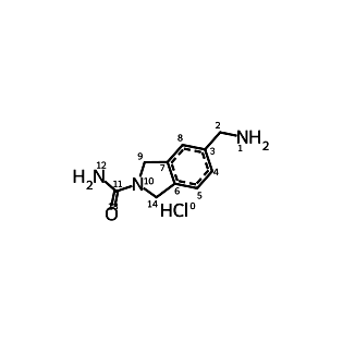 Cl.NCc1ccc2c(c1)CN(C(N)=O)C2